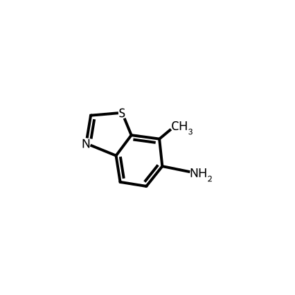 Cc1c(N)ccc2ncsc12